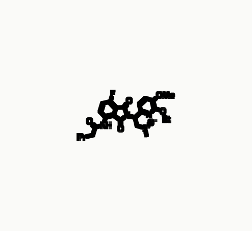 CCOc1nc(C(C[S+](C)[O-])N2C(=O)c3c(F)ccc(NC(=O)CC(C)C)c3C2=O)ccc1OC